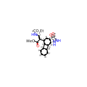 CCOC(=O)NC=C(C(=O)OC)c1cccc2c1-c1ccccc1-2.N=C=O.N=C=O